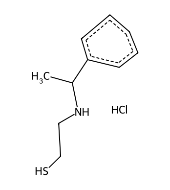 CC(NCCS)c1ccccc1.Cl